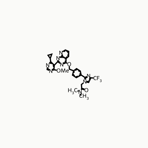 COc1ncnc(C2CC2)c1-c1nc(OCc2ccc(-c3nc(C(F)(F)F)cn3CC(=O)N(C)C)cc2)c2cccnc2n1